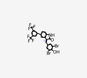 O=C1Nc2ccc(-c3cc(C(F)(F)F)cc(C(F)(F)F)c3)cc2/C1=C/c1cc(Br)c(O)c(Br)c1